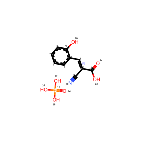 N#C/C(=C\c1ccccc1O)C(=O)O.O=P(O)(O)O